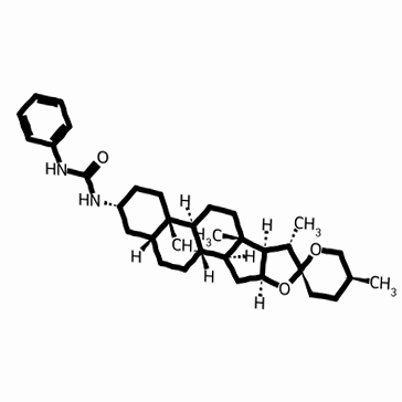 C[C@H]1CC[C@@]2(OC1)O[C@H]1C[C@H]3[C@@H]4CC[C@@H]5C[C@H](NC(=O)Nc6ccccc6)CC[C@]5(C)[C@H]4CC[C@]3(C)[C@H]1[C@@H]2C